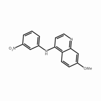 COc1ccc2c(Nc3cccc([N+](=O)[O-])c3)ccnc2c1